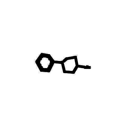 [CH2]CCCC1CCN(c2ccccc2)CC1